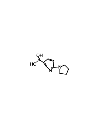 OB(O)c1ccc(N2CCCC2)nc1